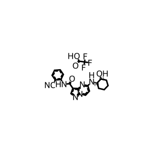 N#Cc1ccccc1NC(=O)c1cnn2ccc(N[C@@H]3CCCC[C@@H]3O)nc12.O=C(O)C(F)(F)F